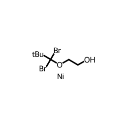 CC(C)(C)C(Br)(Br)OCCO.[Ni]